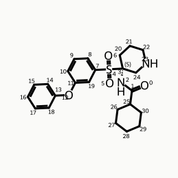 O=C(N[C@]1(S(=O)(=O)c2cccc(Oc3ccccc3)c2)CCCNC1)C1CCCCC1